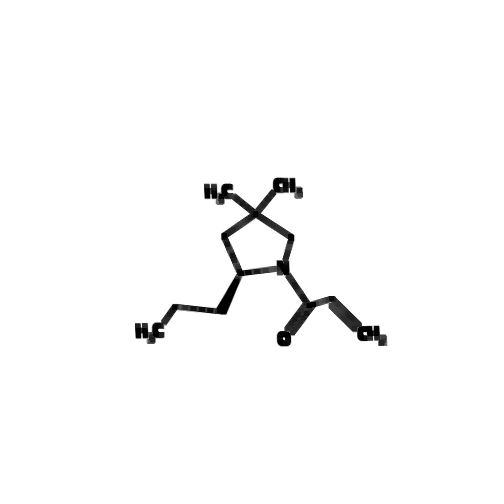 C=CC(=O)N1CC(C)(C)C[C@@H]1CCC